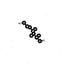 [C-]#[N+]c1cccc(-c2ccc(-c3cc4c5ccccc5c(-c5ccc6cc(-c7cccc(C#N)c7)ccc6c5)cc4c4ccccc34)c3ccccc23)c1